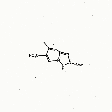 CSN1N=C2C=C(C)C(C(=O)O)=CN2N1